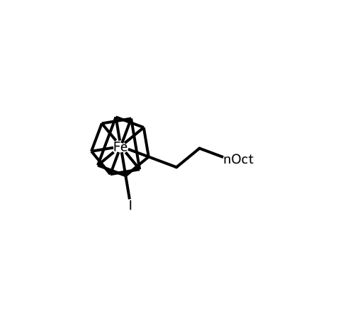 CCCCCCCCCC[C]12[CH]3[CH]4[CH]5[C]1(I)[Fe]45321678[CH]2[CH]1[CH]6[CH]7[CH]28